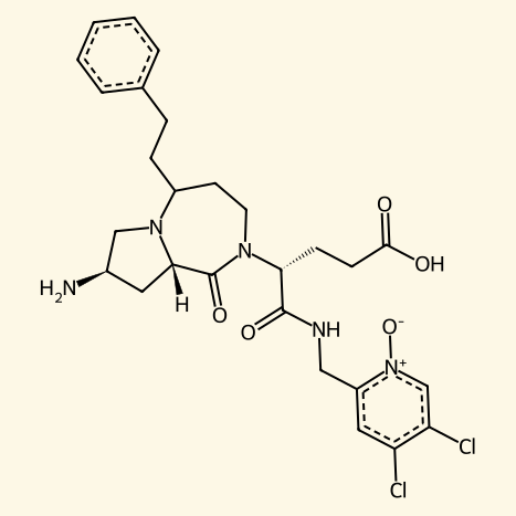 N[C@@H]1C[C@H]2C(=O)N([C@H](CCC(=O)O)C(=O)NCc3cc(Cl)c(Cl)c[n+]3[O-])CCC(CCc3ccccc3)N2C1